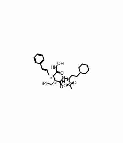 CC(C)C[C@@H](C(=O)NN(CCC1CCCCC1)S(C)(=O)=O)[C@H](CC=Cc1ccccc1)C(=O)NO